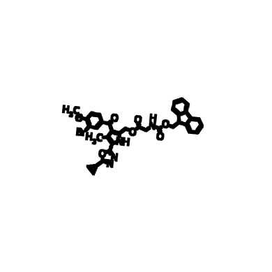 COc1ccc(C(=O)c2c(COC(=O)CNC(=O)OCC3c4ccccc4-c4ccccc43)[nH]c(-c3nnc(C4CC4)o3)c2C)cc1Br